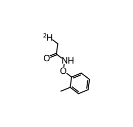 [2H]CC(=O)NOc1ccccc1C